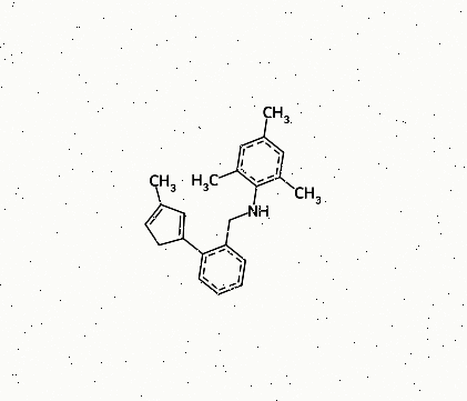 CC1=CCC(c2ccccc2CNc2c(C)cc(C)cc2C)=C1